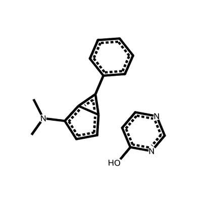 CN(C)c1ccc2c(-c3ccccc3)c1-2.Oc1ccncn1